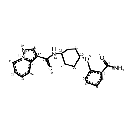 NC(=O)c1ccccc1O[C@H]1CC[C@H](NC(=O)c2cnn3ccccc23)CC1